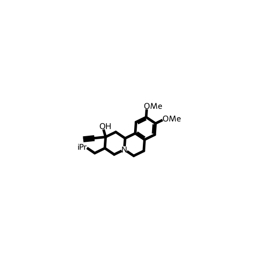 C#CC1(O)CC2c3cc(OC)c(OC)cc3CCN2CC1CC(C)C